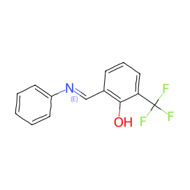 Oc1c(/C=N/c2ccccc2)cccc1C(F)(F)F